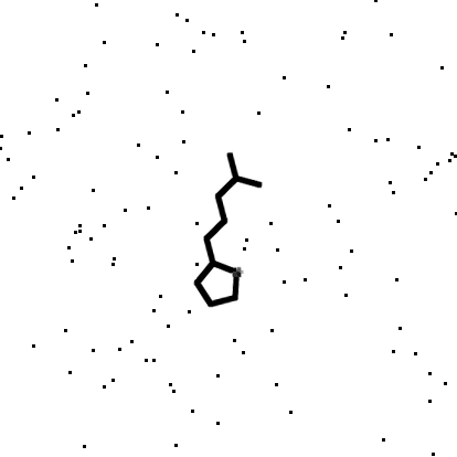 CC(C)CCCC1CCC[N]1